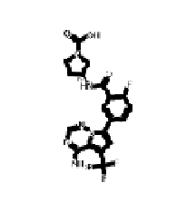 Nc1ncnn2c(-c3ccc(F)c(C(=O)N[C@H]4CCN(C(=O)O)C4)c3)cc(C(F)(F)F)c12